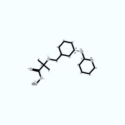 CC(C)(C)OC(=O)C(C)(C)OCC1CCC[C@H](OC2CCCCO2)C1